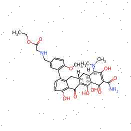 CCOC(=O)CNCc1ccc(OC)c(-c2ccc(O)c3c2C[C@@H]2C[C@H]4[C@@H](N(C)C)C(O)=C(C(N)=O)C(=O)[C@@]4(O)C(O)=C2C3=O)c1